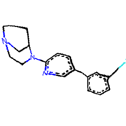 Fc1cccc(-c2ccc(N3CCN4CCC3C4)nc2)c1